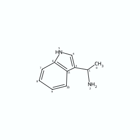 CC(N)c1c[nH]c2ccc[c]c12